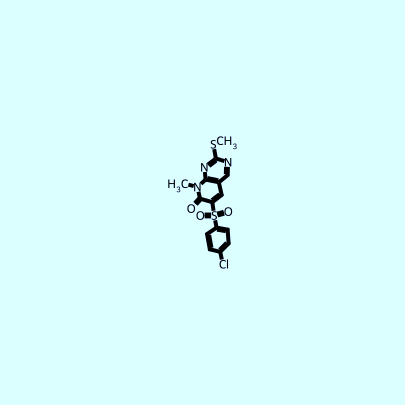 CSc1ncc2cc(S(=O)(=O)c3ccc(Cl)cc3)c(=O)n(C)c2n1